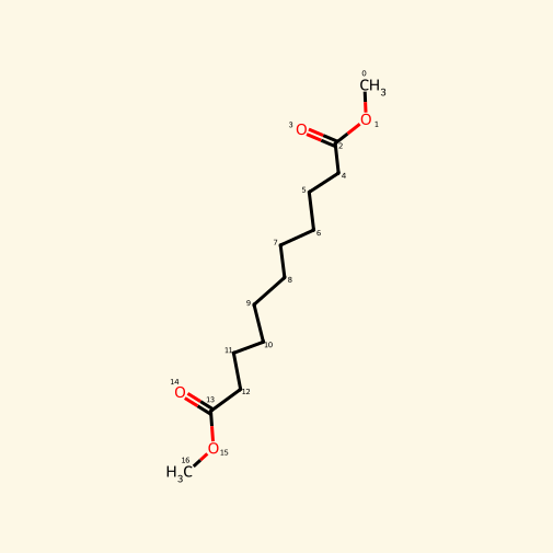 COC(=O)CCCCCCCCCC(=O)OC